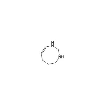 C1=CNCNCCC1